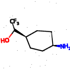 N[C@H]1CC[C@@H](C(O)C(F)(F)F)CC1